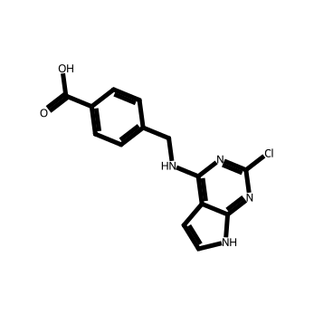 O=C(O)c1ccc(CNc2nc(Cl)nc3[nH]ccc23)cc1